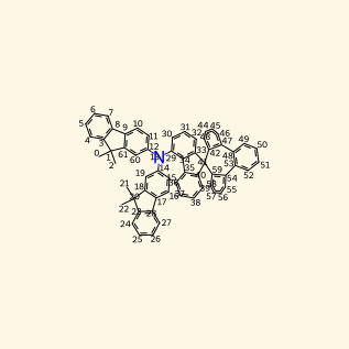 CC1(C)c2ccccc2-c2ccc(N(c3ccc4c(c3)C(C)(C)c3ccccc3-4)c3cccc4c3-c3ccccc3C43c4ccccc4-c4ccccc4-c4ccccc43)cc21